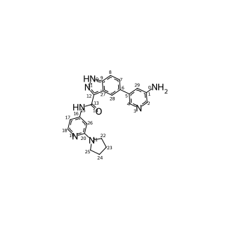 Nc1cncc(-c2ccc3[nH]nc(C(=O)Nc4ccnc(N5CCCC5)c4)c3c2)c1